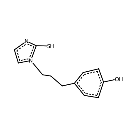 Oc1ccc(CCCn2ccnc2S)cc1